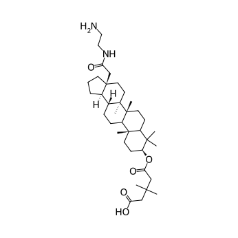 CC(C)(CC(=O)O)CC(=O)O[C@H]1CC[C@@]2(C)C(CC[C@]3(C)C2CC[C@@H]2[C@H]4CCC[C@]4(CC(=O)NCCN)CC[C@]23C)C1(C)C